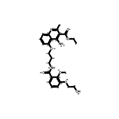 CCOC(=O)c1c(C)nc2cccc(OCCCNC(=O)c3cccc(OCCO)c3OC)c2c1N